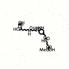 COP(=O)(O)OCCCNC(=O)OCC1C2CCC3=C(CCC21)N(CCCC(=O)NCCCCC(CO)COP(C)(=O)O)NN3